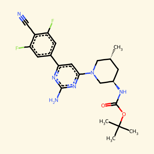 C[C@@H]1C[C@@H](NC(=O)OC(C)(C)C)CN(c2cc(-c3cc(F)c(C#N)c(F)c3)nc(N)n2)C1